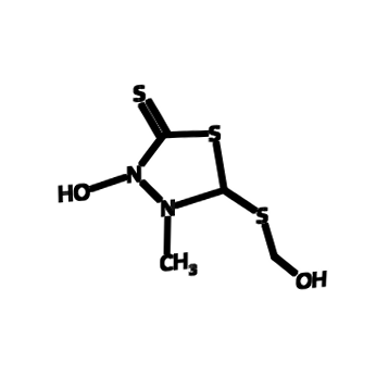 CN1C(SCO)SC(=S)N1O